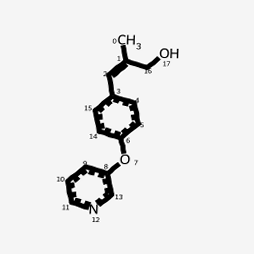 CC(=Cc1ccc(Oc2cccnc2)cc1)CO